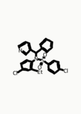 CCc1cc(Cl)ccc1N(C(c1ccccc1)c1cccnc1)S(=O)(=O)c1ccc(Cl)cc1